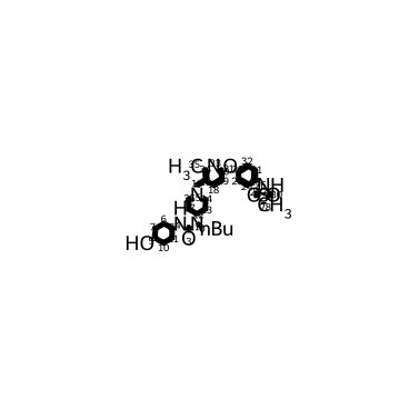 CCCCN(C(=O)NC1CCC(O)CC1)C1CCN(Cc2ccc(Oc3ccc(NS(C)(=O)=O)cc3)nc2C)CC1